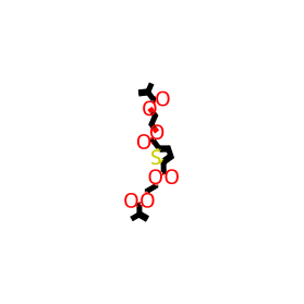 C=C(C)C(=O)OCCOC(=O)c1ccc(C(=O)OCCOC(=O)C(=C)C)s1